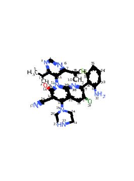 CC(C)c1ncnc(C(C)C)c1-n1c(=O)c(C#N)c(N2CCNCC2)c2cc(Cl)c(-c3c(N)cccc3F)nc21